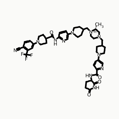 C[C@@H]1CN(CC2CCN(c3ccc(C(=O)NC4CCC(=O)NC4=O)nc3)CC2)CCN1CC1CCN(c2ccc(NC(=O)C3CCN(c4ccc(C#N)c(C(F)(F)F)c4)CC3)nc2)CC1